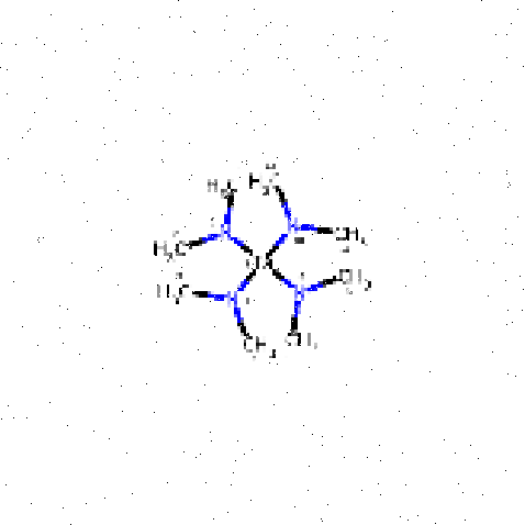 C[N](C)[Ta]([N](C)C)([N](C)C)[N](C)C